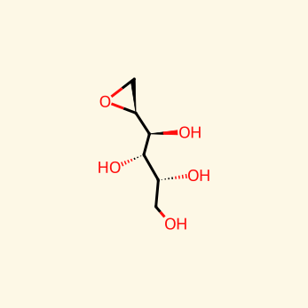 OC[C@@H](O)[C@H](O)[C@H](O)[C@@H]1CO1